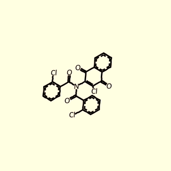 O=C1C(Cl)=C(N(C(=O)c2ccccc2Cl)C(=O)c2ccccc2Cl)C(=O)c2ccccc21